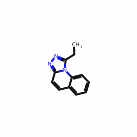 CCc1nnc2ccc3ccccc3n12